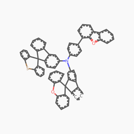 c1ccc2c(c1)Oc1ccccc1C21c2ccccc2-c2ccc(N(c3ccc(-c4cccc5c4oc4ccccc45)cc3)c3ccc4c(c3)-c3ccccc3C43c4ccccc4Sc4ccccc43)cc21